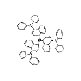 C1=CC2=C(N(c3ccc(N(c4ccccc4)c4ccccc4)c4ccccc34)c3ccc(N(c4ccccc4)c4ccccc4)c4ccccc34)C=CC(N(c3ccccc3)c3ccccc3)C2C=C1